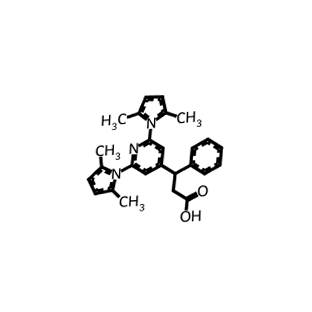 Cc1ccc(C)n1-c1cc(C(CC(=O)O)c2ccccc2)cc(-n2c(C)ccc2C)n1